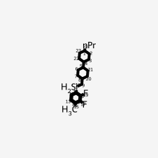 CCCC1CCC(C2CCC(C[SiH2]c3ccc(C)c(F)c3F)CC2)CC1